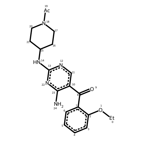 CCOc1ccccc1C(=O)c1cnc(NC2CCN(C(C)=O)CC2)nc1N